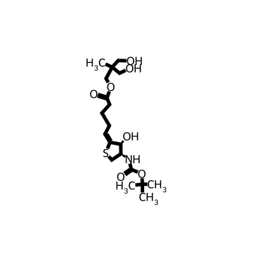 CC(CO)(CO)COC(=O)CCC/C=C1/SC[C@H](NC(=O)OC(C)(C)C)[C@@H]1O